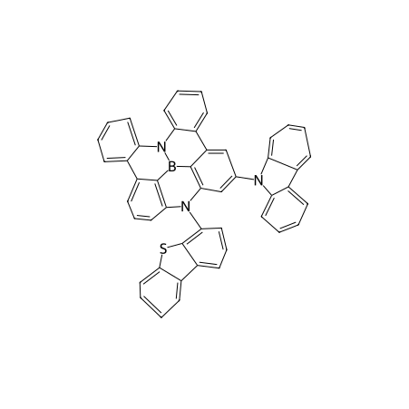 c1ccc2c(c1)-c1cccc3c1B1c4c(cc(-n5c6ccccc6c6ccccc65)cc4N3c3cccc4c3sc3ccccc34)-c3ccccc3N12